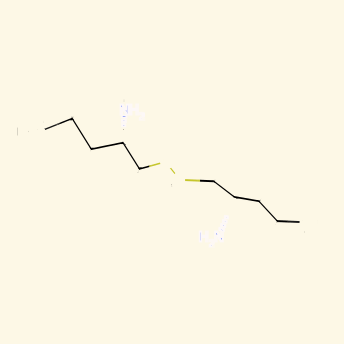 N[C@@H](CCS(=O)(=O)O)CSSC[C@@H](N)CCS(=O)(=O)O